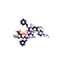 CC(C)C[C@H](NC(=O)[C@H](CCc1ccccc1)NC(=O)CC(C)[C@@H](C)N1CCN(C)CC1)C(=O)N[C@@H](Cc1ccccc1)C(=O)N[C@@H](CC(C)C)C(=O)[C@@]1(C)CO1